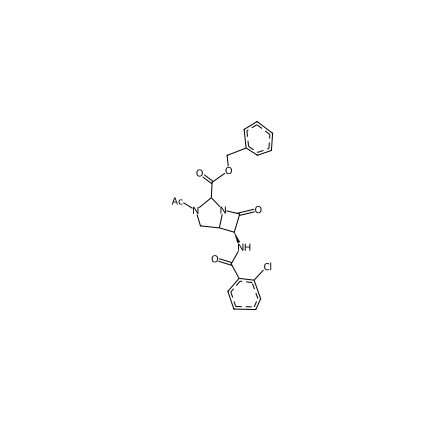 CC(=O)N1CC2[C@H](NC(=O)c3ccccc3Cl)C(=O)N2C1C(=O)OCc1ccccc1